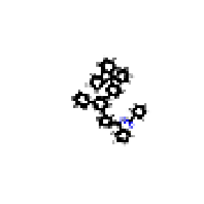 c1ccc(-c2cc(-c3cccc(-c4nc(-c5ccccc5)nc5ccccc45)c3)cc(-c3cccc(C4(c5ccccc5)c5ccccc5-c5ccccc54)c3)c2)cc1